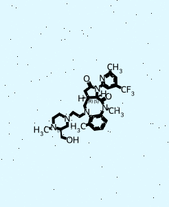 Cc1cc(C(F)(F)F)cc(N2C(=O)C[C@@H]3CN(CCN4CCN(C)[C@H](CO)C4)c4c(C)cccc4N(C)C(=O)[C@H]32)n1